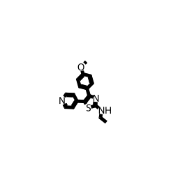 CCNc1nc(-c2ccc(OC)cc2)c(-c2ccncc2)s1